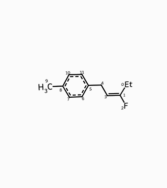 CC/C(F)=C\Cc1ccc(C)cc1